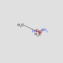 CCCCCCCCCCCCCCCCCCNC(=O)Cc1ccc(OCCN)c(OC)c1